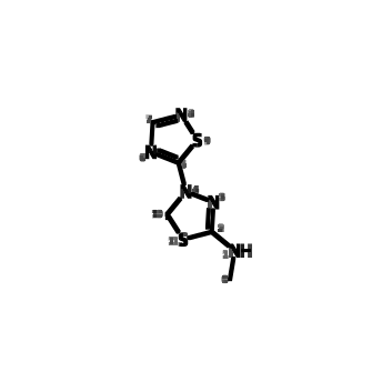 CNC1=NN(c2ncns2)[CH]S1